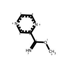 COC(=N)c1cnccn1